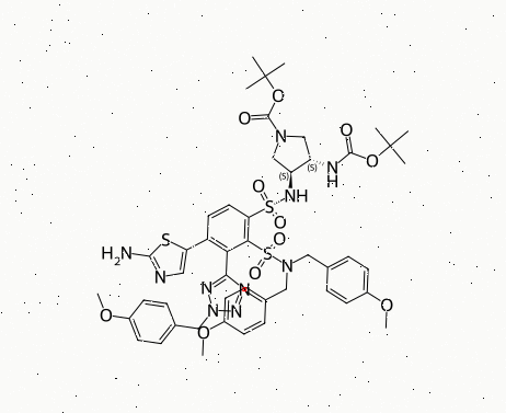 COc1ccc(CN(Cc2ccc(OC)cc2)S(=O)(=O)c2c(S(=O)(=O)N[C@H]3CN(C(=O)OC(C)(C)C)C[C@@H]3NC(=O)OC(C)(C)C)ccc(-c3cnc(N)s3)c2-c2nnn(Cc3ccc(OC)cc3)n2)cc1